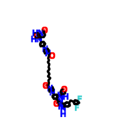 O=C1CCC(Nc2ccc(N3CCN(C(=O)CCCCCCCCCCCCC(=O)N4CCN(c5ccc(C(=O)Nc6n[nH]c7ccc(Cc8cc(F)cc(F)c8)cc67)c(NC6CCOCC6)c5)CC4)CC3)cc2)C(=O)N1